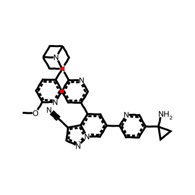 COc1ccc(CN2C3CC2CN(c2ccc(-c4cc(-c5ccc(C6(N)CC6)cn5)cn5ncc(C#N)c45)cn2)C3)cn1